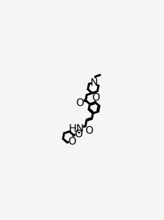 CCN1CCC2(CC1)CC(=O)c1cc(C=CC(=O)NOC3CCCCO3)ccc1O2